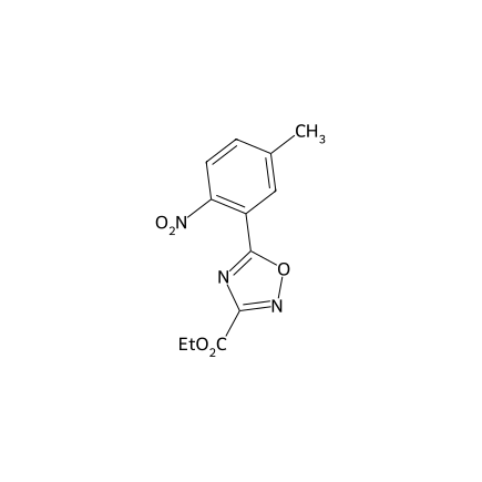 CCOC(=O)c1noc(-c2cc(C)ccc2[N+](=O)[O-])n1